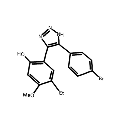 CCc1cc(-c2nn[nH]c2-c2ccc(Br)cc2)c(O)cc1OC